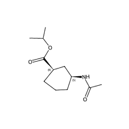 CC(=O)N[C@H]1CCC[C@@H](C(=O)OC(C)C)C1